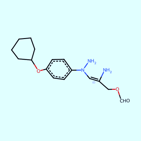 N/C(=C\N(N)c1ccc(OC2CCCCC2)cc1)COC=O